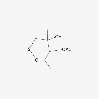 CC(=O)OC1C(C)OSCC1(C)O